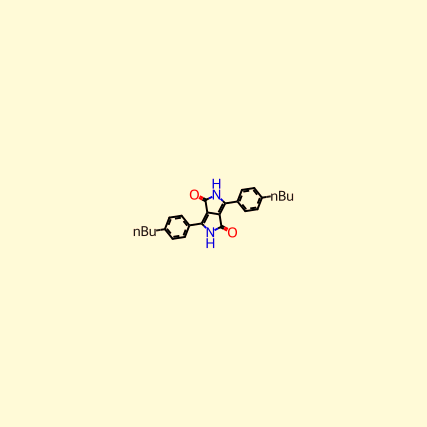 CCCCc1ccc(C2=C3C(=O)NC(c4ccc(CCCC)cc4)=C3C(=O)N2)cc1